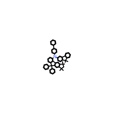 CC1(C)CC(C)(C)c2cc3c(cc21)-c1c(N(c2ccc(-c4ccccc4)cc2)c2ccc4c(c2)-c2ccccc2C4(C)C)cccc1C3(c1ccccc1)c1ccccc1